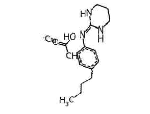 CC(=O)O.CCCCc1ccc(N=C2NCCCN2)cc1.[Cu]